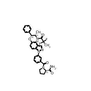 C[C@H](NC(=O)C(C)(F)F)[C@H](Oc1ccc2c(cnn2-c2cccc(C(=O)N3CCC[C@@H]3C(N)=O)c2)c1)c1ccccc1